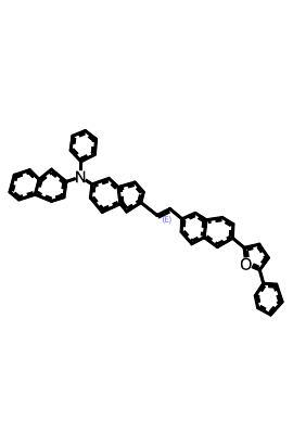 C(=C\c1ccc2cc(N(c3ccccc3)c3ccc4ccccc4c3)ccc2c1)/c1ccc2cc(-c3ccc(-c4ccccc4)o3)ccc2c1